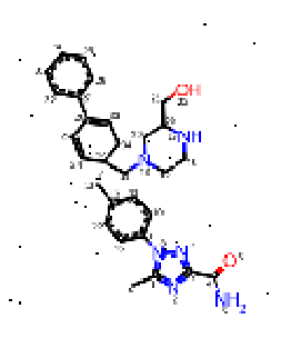 Cc1nc(C(N)=O)nn1-c1ccc(C[C@]2(CN3CCNC(CO)C3)C=CC(c3ccccc3)=CC2)cc1